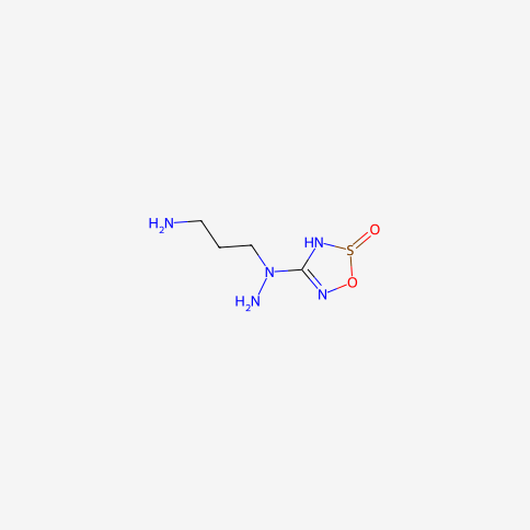 NCCCN(N)C1=NOS(=O)N1